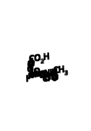 Cn1cc(C(=O)Nc2ccc(CC(=O)N3C[C@@H](F)C[C@H]3COc3ccc(C(=O)O)cc3)cc2Cl)c2ccccc21